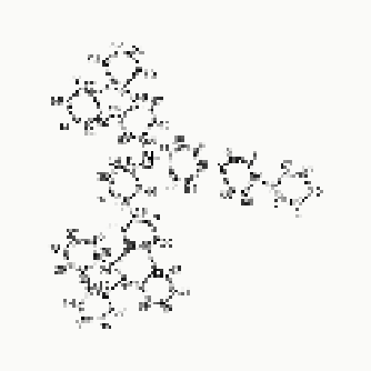 c1ccc(-c2ccc(-c3ccc(N(c4cccc(-c5ccc6c(c5)c(-c5ccccc5)c(-c5ccccc5)c5ccccc56)c4)c4ccc(-c5ccccc5)c(-c5ccccc5)c4)cc3)cc2)cc1